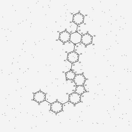 c1ccc(-c2cccc(-c3ccc4sc5ccc6c(ccn6-c6ccc(N7c8ccccc8N(c8ccccc8)c8ccccc87)cc6)c5c4c3)c2)cc1